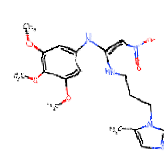 COc1cc(NC(=C[N+](=O)[O-])NCCCn2cncc2C)cc(OC)c1OC